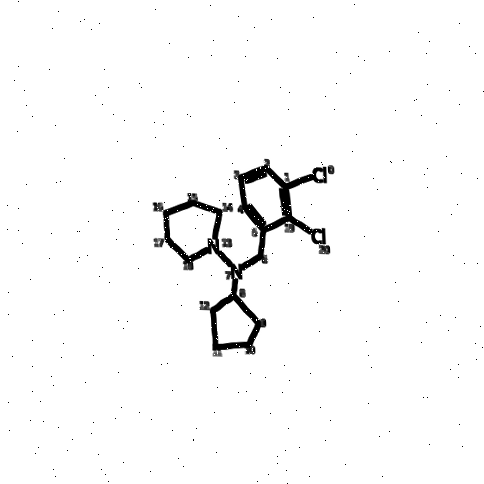 Clc1cccc(CN(C2CCCC2)N2CCCCC2)c1Cl